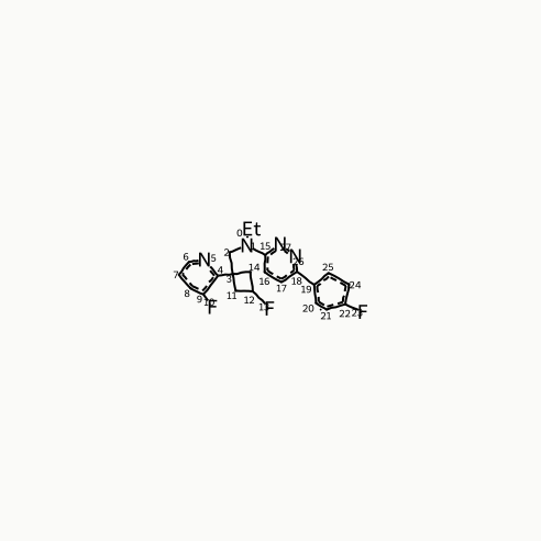 CCN(CC1(c2ncccc2F)CC(F)C1)c1ccc(-c2c[c]c(F)cc2)nn1